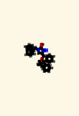 CC(C)(C)[Si](OCC1CN(CC23CC4CC(CC(C4)C2)C3)C(=O)N1)(c1ccccc1)c1ccccc1